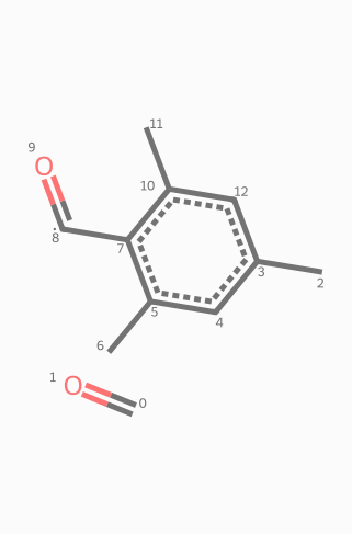 C=O.Cc1cc(C)c([C]=O)c(C)c1